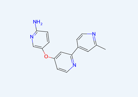 Cc1cc(-c2cc(Oc3ccc(N)nc3)ccn2)ccn1